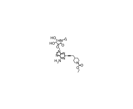 CCOC(=O)N1CCC(CC#Cc2nc(N)c3ncn(CO[C@H](C(=O)NC4CC4)C(O)CO)c3n2)CC1